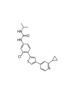 CC(C)NC(=O)Nc1ccc(-c2cc(-c3ccnc(C4CC4)c3)cs2)c(Cl)c1